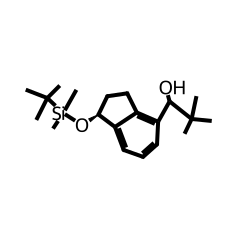 CC(C)(C)C(O)c1cccc2c1CC[C@@H]2O[Si](C)(C)C(C)(C)C